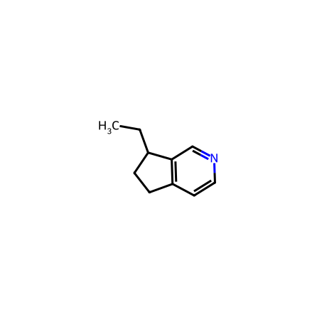 CCC1CCc2ccncc21